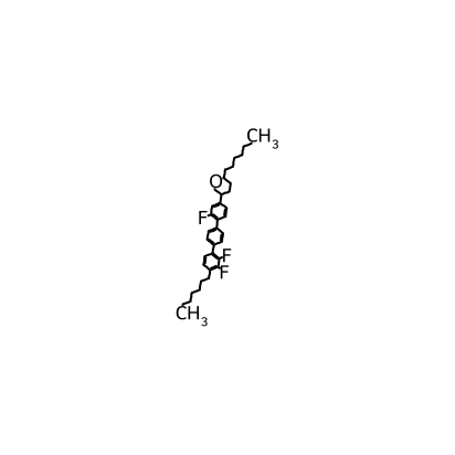 CCCCCCCc1ccc(-c2ccc(-c3ccc(C4CCC(CCCCCCC)OC4)cc3F)cc2)c(F)c1F